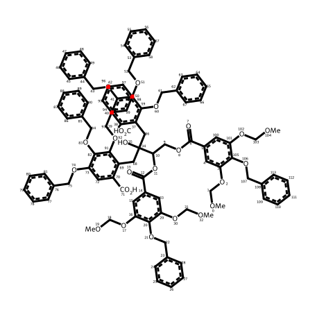 COCOc1cc(C(=O)OCC(OC(=O)c2cc(OCOC)c(OCc3ccccc3)c(OCOC)c2)C(O)(Cc2c(C(=O)O)cc(OCc3ccccc3)c(OCc3ccccc3)c2OCc2ccccc2)Cc2c(C(=O)O)cc(OCc3ccccc3)c(OCc3ccccc3)c2OCc2ccccc2)cc(OCOC)c1OCc1ccccc1